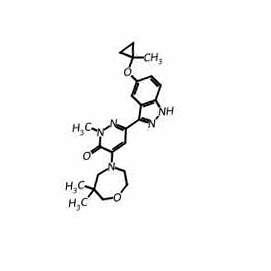 Cn1nc(-c2n[nH]c3ccc(OC4(C)CC4)cc23)cc(N2CCOCC(C)(C)C2)c1=O